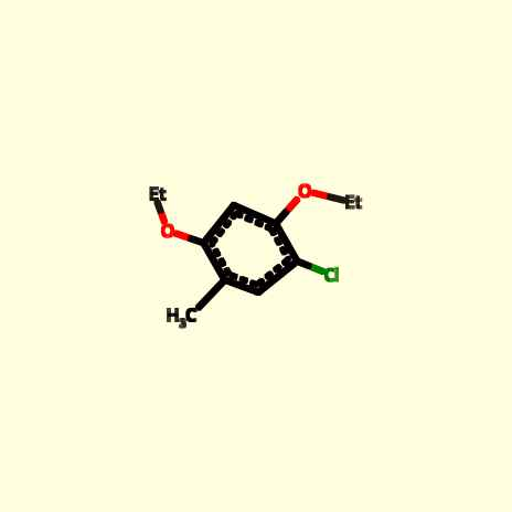 CCOc1cc(OCC)c(Cl)cc1C